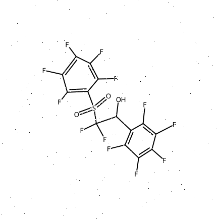 O=S(=O)(c1c(F)c(F)c(F)c(F)c1F)C(F)(F)C(O)c1c(F)c(F)c(F)c(F)c1F